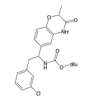 CC1Oc2ccc(C(Cc3cccc(Cl)c3)NC(=O)OC(C)(C)C)cc2NC1=O